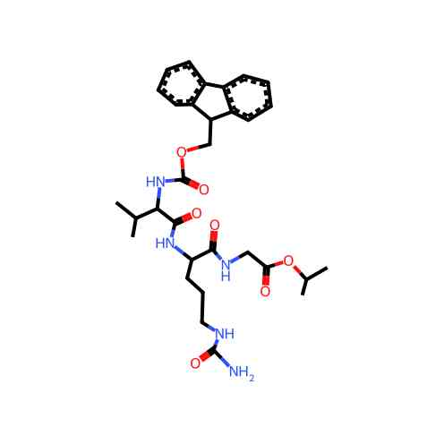 CC(C)OC(=O)CNC(=O)C(CCCNC(N)=O)NC(=O)C(NC(=O)OCC1c2ccccc2-c2ccccc21)C(C)C